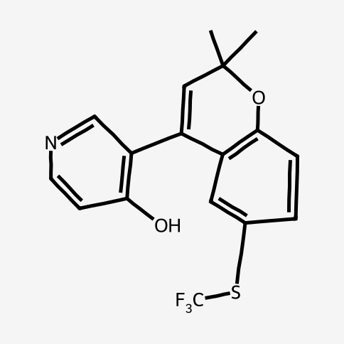 CC1(C)C=C(c2cnccc2O)c2cc(SC(F)(F)F)ccc2O1